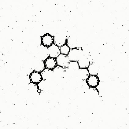 CN1C(=S)N(c2ccccc2)[C@H](c2ccc(-c3cccc(O)c3)cc2O)[C@H]1CCCC(O)c1ccc(F)cc1